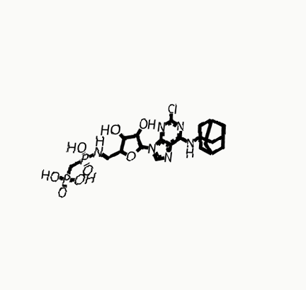 O=P(O)(O)CP(=O)(O)NCC1OC(n2cnc3c(NC45CC6CC(CC(C6)C4)C5)nc(Cl)nc32)C(O)C1O